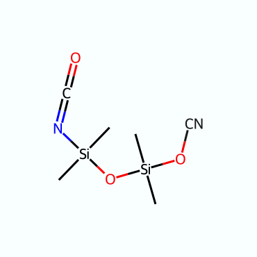 C[Si](C)(N=C=O)O[Si](C)(C)OC#N